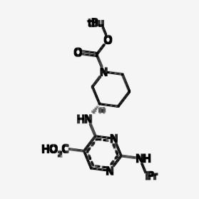 CC(C)Nc1ncc(C(=O)O)c(N[C@H]2CCCN(C(=O)OC(C)(C)C)C2)n1